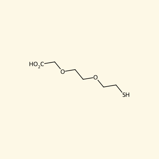 O=C(O)COCCOCCS